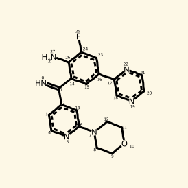 N=C(c1ccnc(N2CCOCC2)c1)c1cc(-c2cnccn2)cc(F)c1N